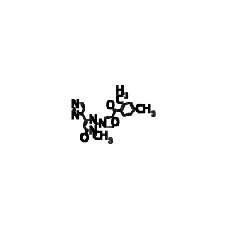 Cc1ccc(C(=O)C2CN(c3nc(-c4ccncn4)cc(=O)n3C)CCO2)c(C)c1